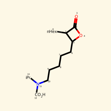 CCCCCCC1C(=O)OC1CCCCCN(C(=O)O)C(C)C